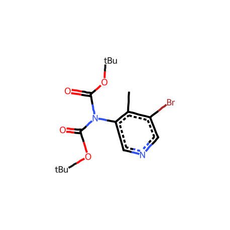 Cc1c(Br)cncc1N(C(=O)OC(C)(C)C)C(=O)OC(C)(C)C